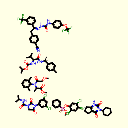 CC(C)NC(=O)N1CC(=O)N(c2cc(Cl)cc(Cl)c2)C1=O.COCC(=O)N(c1c(C)cccc1C)C(C)C(=O)OC.COP(=S)(Oc1cc(Cl)c(Br)cc1Cl)c1ccccc1.Cc1ccc([C@H](C)NC(=O)C(NC(=O)OC(C)C)C(C)C)cc1.N#Cc1ccc(CC(=NNC(=O)Nc2ccc(OC(F)(F)F)cc2)c2cccc(C(F)(F)F)c2)cc1.O=c1[nH]c2c(c(=O)n1C1CCCCC1)CCC2